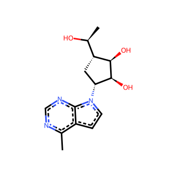 Cc1ncnc2c1ccn2[C@@H]1C[C@H]([C@H](C)O)[C@@H](O)[C@H]1O